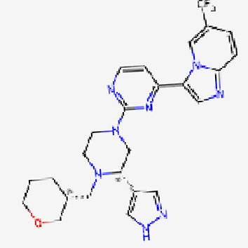 FC(F)(F)c1ccc2ncc(-c3ccnc(N4CCN(C[C@H]5CCCOC5)[C@@H](c5cn[nH]c5)C4)n3)n2c1